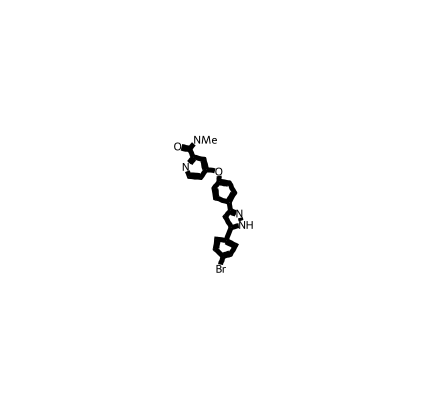 CNC(=O)c1cc(Oc2ccc(C3=NNC(c4ccc(Br)cc4)C3)cc2)ccn1